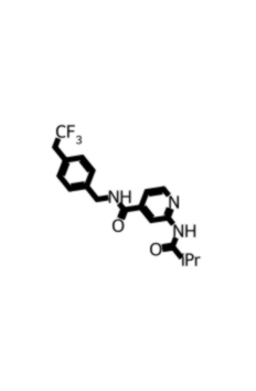 CC(C)C(=O)Nc1cc(C(=O)NCc2ccc(CC(F)(F)F)cc2)ccn1